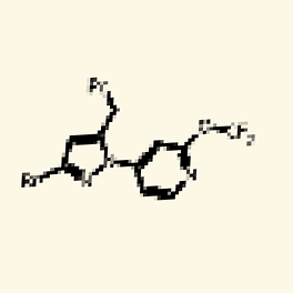 CC(C)Cc1cc(Br)nn1-c1ccnc(OC(F)(F)F)c1